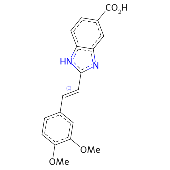 COc1ccc(/C=C/c2nc3cc(C(=O)O)ccc3[nH]2)cc1OC